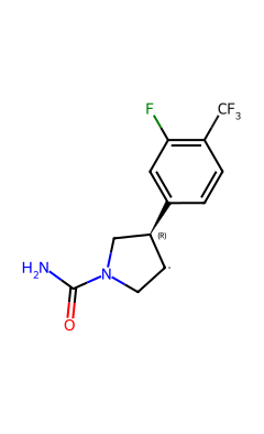 NC(=O)N1C[CH][C@H](c2ccc(C(F)(F)F)c(F)c2)C1